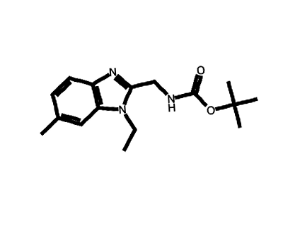 CCn1c(CNC(=O)OC(C)(C)C)nc2ccc(C)cc21